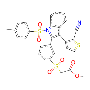 COC(=O)CS(=O)(=O)c1cccc(-c2c(-c3ccsc3C#N)c3ccccc3n2S(=O)(=O)c2ccc(C)cc2)c1